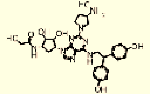 Cl.N[C@@H]1CCN(c2nc(NCC(c3ccc(O)cc3)c3ccc(O)cc3)c3ncn([C@@H]4C[C@H](NC(=O)CO)[C@@H](O)[C@H]4O)c3n2)C1